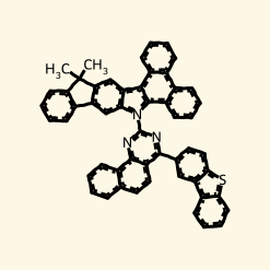 CC1(C)c2ccccc2-c2cc3c(cc21)c1c2ccccc2c2ccccc2c1n3-c1nc(-c2ccc3sc4ccccc4c3c2)c2ccc3ccccc3c2n1